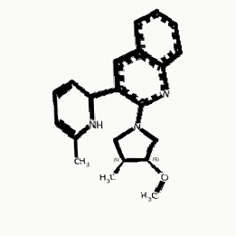 CO[C@@H]1CN(c2nc3ccccc3cc2C2C=CC=C(C)N2)C[C@@H]1C